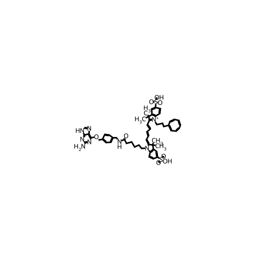 CC1(C)C(/C=C/C=C/C=C2/N(CCCCCC(=O)NCc3ccc(COc4nc(N)nc5[nH]cnc45)cc3)c3ccc(S(=O)(=O)O)cc3C2(C)C)=[N+](CCCC2=C/C=C\C=C/C=C\2)c2ccc(S(=O)(=O)O)cc21